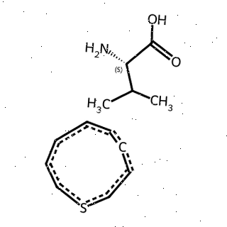 CC(C)[C@H](N)C(=O)O.c1ccccsccc1